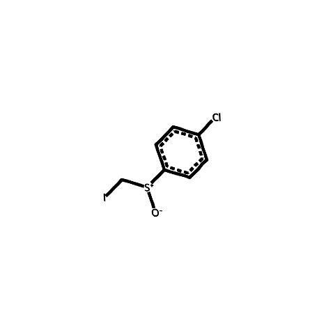 [O-][S+](CI)c1ccc(Cl)cc1